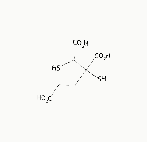 O=C(O)CCC(S)(C(=O)O)C(S)C(=O)O